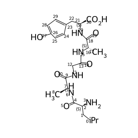 CC(C)C[C@H](N)C(=O)N[C@@H](C)C(=O)NCC(=O)N[C@@H](C)C(=O)N[C@@H](Cc1ccc(O)cc1)C(=O)O